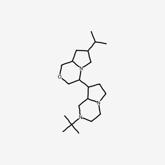 CC(C)C1CC2COCC(C3CCN4CCN(C(C)(C)C)CC34)N2C1